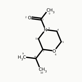 CC(=O)N1CCOC(C(C)C)C1